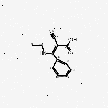 CCNC(=C(C#N)C(=O)O)c1ccccc1